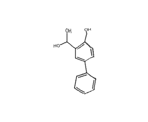 Oc1ccc(-c2ccccc2)cc1C(O)O